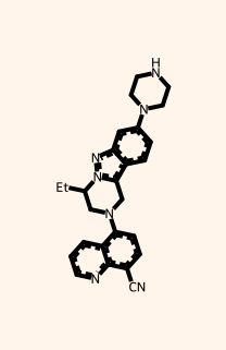 CCC1CN(c2ccc(C#N)c3ncccc23)Cc2c3ccc(N4CCNCC4)cc3nn21